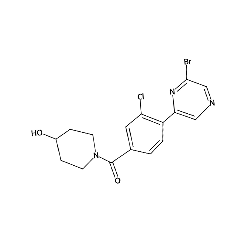 O=C(c1ccc(-c2cncc(Br)n2)c(Cl)c1)N1CCC(O)CC1